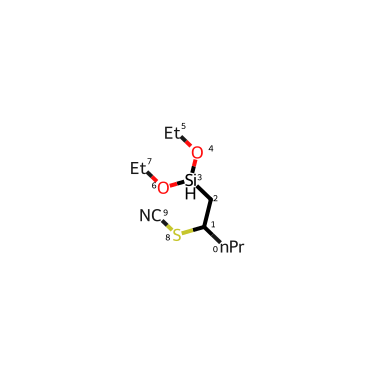 CCCC(C[SiH](OCC)OCC)SC#N